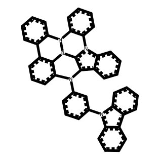 c1cc(N2c3cccc4c3B3c5c2c2ccccc2n5-c2ccccc2N3c2ccccc2-4)cc(-n2c3ccccc3c3ccccc32)c1